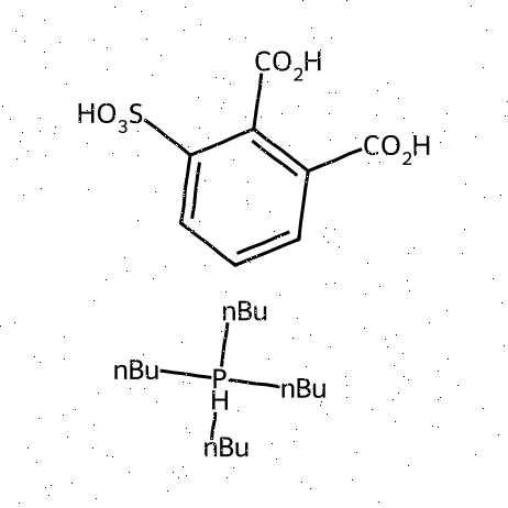 CCCC[PH](CCCC)(CCCC)CCCC.O=C(O)c1cccc(S(=O)(=O)O)c1C(=O)O